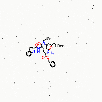 CCCCCCCCCCCCC[C@@H](CC(N)=O)N(CC(C)C)C(=O)[C@H](CCCC(=O)OCc1ccccc1)NC(=O)c1ccc2ccccc2n1